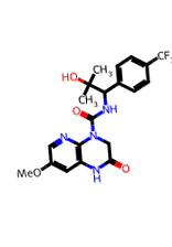 COc1cnc2c(c1)NC(=O)CN2C(=O)NC(c1ccc(C(F)(F)F)cc1)C(C)(C)O